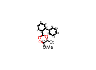 CCC(OC(=O)c1ccccc1-c1ccccc1)C(=O)OC